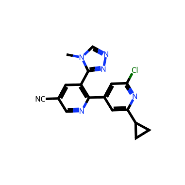 Cn1cnnc1-c1cc(C#N)cnc1-c1cc(Cl)nc(C2CC2)c1